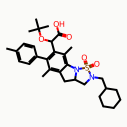 Cc1ccc(-c2c(C)c3c(c(C)c2C(OC(C)(C)C)C(=O)O)N2C(C3)CN(CC3CCCCC3)S2(=O)=O)cc1